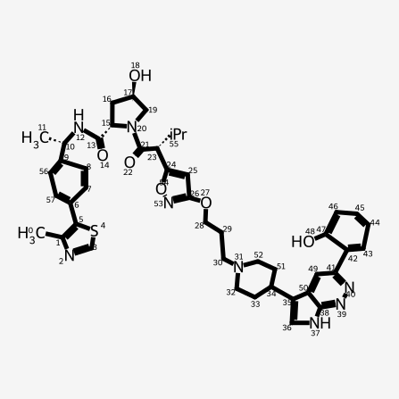 Cc1ncsc1-c1ccc([C@H](C)NC(=O)[C@@H]2C[C@@H](O)CN2C(=O)[C@@H](c2cc(OCCCN3CCC(c4c[nH]c5nnc(-c6ccccc6O)cc45)CC3)no2)C(C)C)cc1